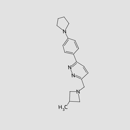 CC1CN(Cc2ccc(-c3ccc(N4CCCC4)cc3)nn2)C1